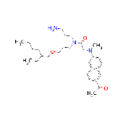 CCCCC(CC)COCCCN(CCCN)C(=O)CN(C)c1ccc2cc(C(C)=O)ccc2c1